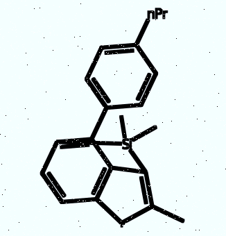 CCCc1ccc(-c2c3ccc4c2C(=C(C)[CH]4)[Si]3(C)C)cc1